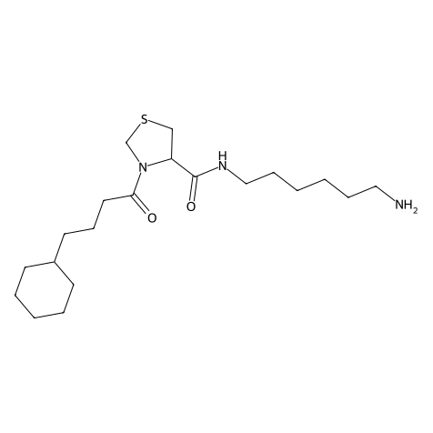 NCCCCCCNC(=O)C1CSCN1C(=O)CCCC1CCCCC1